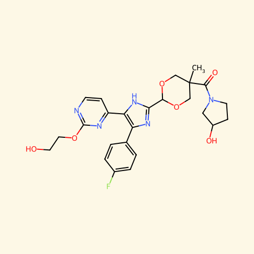 CC1(C(=O)N2CCC(O)C2)COC(c2nc(-c3ccc(F)cc3)c(-c3ccnc(OCCO)n3)[nH]2)OC1